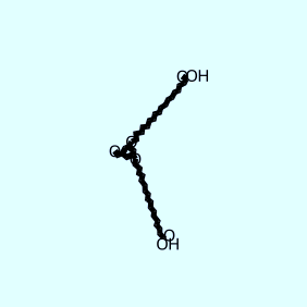 O=Cc1cc(OCCCCCCCCCCCCCCCCCC(=O)O)cc(OCCCCCCCCCCCCCCCCCC(=O)O)c1